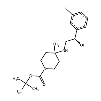 CC1(NC[C@H](O)c2cccc(F)c2)CCN(C(=O)OC(C)(C)C)CC1